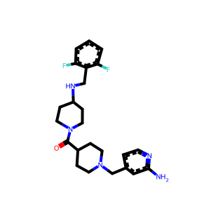 Nc1cc(CN2CCC(C(=O)N3CCC(NCc4c(F)cccc4F)CC3)CC2)ccn1